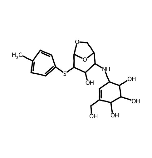 Cc1ccc(SC2C3OCC(O3)C(NC3C=C(CO)C(O)C(O)C3O)C2O)cc1